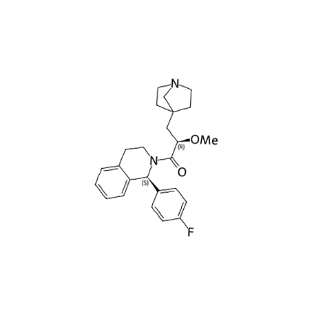 CO[C@H](CC12CCN(CC1)C2)C(=O)N1CCc2ccccc2[C@@H]1c1ccc(F)cc1